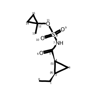 CC[C@@H]1C[C@@H]1C(=O)NS(=O)(=O)OC1(C)CC1